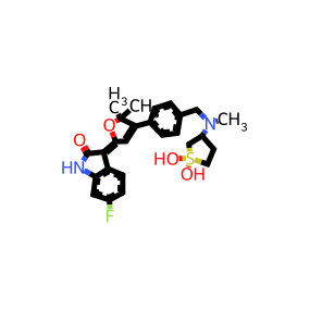 CN(Cc1ccc(C2=CC(=C3C(=O)Nc4cc(F)ccc43)OC2(C)C)cc1)C1CCS(O)(O)C1